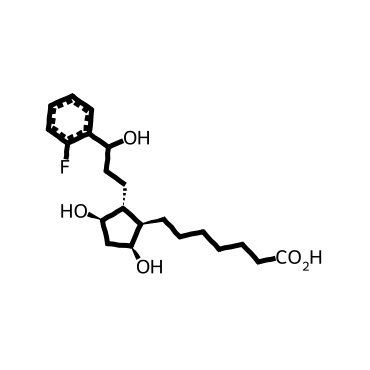 O=C(O)CCCCCC[C@@H]1[C@@H](CCC(O)c2ccccc2F)[C@H](O)C[C@@H]1O